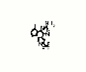 Nc1nnc(-c2ccnc(C(F)(F)F)c2)c(-c2ccccc2F)n1